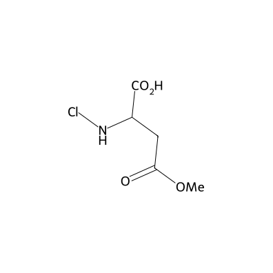 COC(=O)CC(NCl)C(=O)O